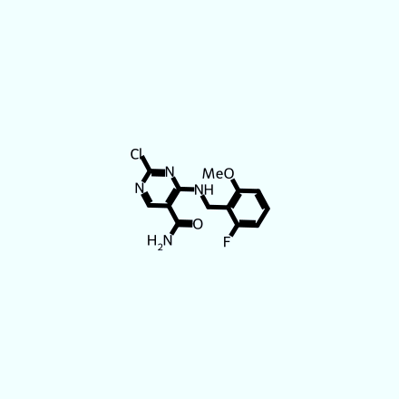 COc1cccc(F)c1CNc1nc(Cl)ncc1C(N)=O